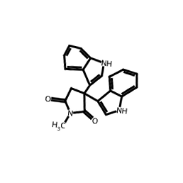 CN1C(=O)CC(c2c[nH]c3ccccc23)(c2c[nH]c3ccccc23)C1=O